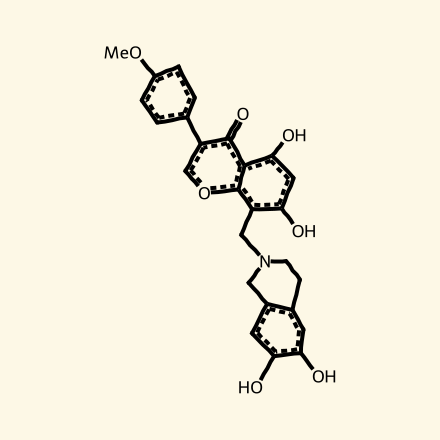 COc1ccc(-c2coc3c(CN4CCc5cc(O)c(O)cc5C4)c(O)cc(O)c3c2=O)cc1